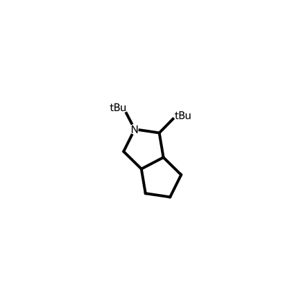 CC(C)(C)C1C2CCCC2CN1C(C)(C)C